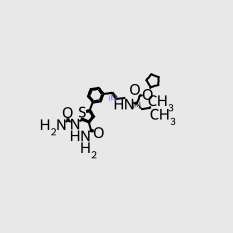 CC(C)C[C@@H](NC/C=C/c1cccc(-c2cc(C(N)=O)c(NC(N)=O)s2)c1)C(=O)OC1CCCC1